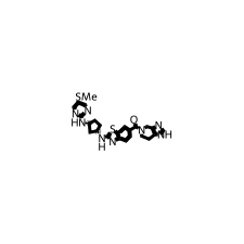 CSc1cnc(N[C@H]2CC[C@H](Nc3nc4ccc(C(=O)N5CCc6[nH]cnc6C5)cc4s3)C2)nc1